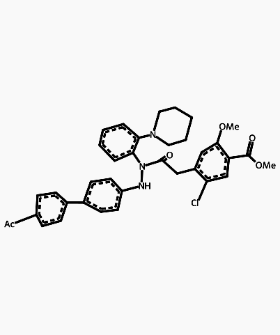 COC(=O)c1cc(Cl)c(CC(=O)N(Nc2ccc(-c3ccc(C(C)=O)cc3)cc2)c2ccccc2N2CCCCC2)cc1OC